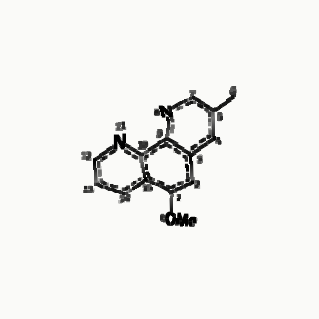 COc1cc2cc(C)cnc2c2ncccc12